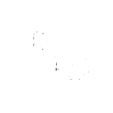 O=C(NC1C2CC3CC(C2)CC1C3)C1=CCCc2c(Br)cccc21